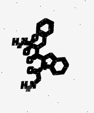 NCC(=O)N1C(C(=O)C(Cc2ccccc2)S(N)(=O)=O)CC2CCCCC21